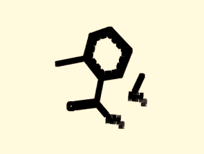 CN.Cc1ccccc1C(N)=O